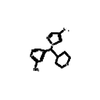 Nc1cnn(C(c2ccnc(N)c2)C2CCOCC2)c1